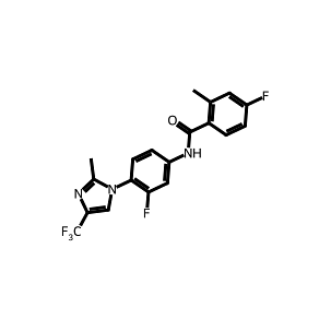 Cc1cc(F)ccc1C(=O)Nc1ccc(-n2cc(C(F)(F)F)nc2C)c(F)c1